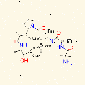 CC[C@H](C)[C@@H]([C@@H](CC(=O)N1CCC[C@H]1[C@H](OC)[C@@H](C)C(=O)N[C@H](C)[C@@H](O)c1ccccc1)OC)N(C)C(=O)[C@@H](NC(=O)C(C)(C)N)C(C)C